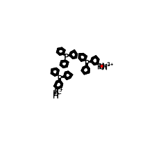 [H-].[H-].[H-].[H-].[K+].[Rh+3].c1ccc(P(c2ccccc2)c2ccccc2)cc1.c1ccc(P(c2ccccc2)c2ccccc2)cc1.c1ccc(P(c2ccccc2)c2ccccc2)cc1